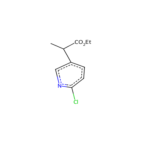 CCOC(=O)C(C)c1ccc(Cl)nc1